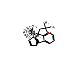 CC(C)(C)C[C]1([Hf]([CH3])([CH3])([CH3])([CH3])([CH3])([CH3])([CH3])[CH]2C=CC=C2)C=Cc2ccccc21